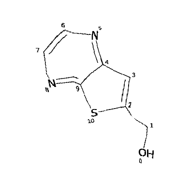 OCc1cc2nccnc2s1